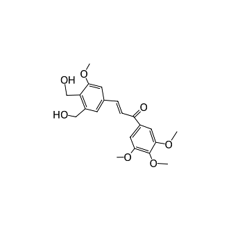 COc1cc(/C=C/C(=O)c2cc(OC)c(OC)c(OC)c2)cc(CO)c1CO